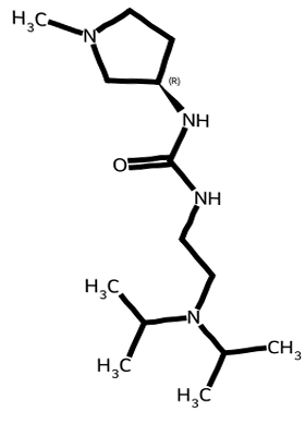 CC(C)N(CCNC(=O)N[C@@H]1CCN(C)C1)C(C)C